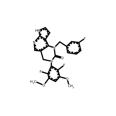 COc1cc(OC)c(F)c(N2Cc3cnc4[nH]ccc4c3N(Cc3cccc(F)c3)C2=O)c1F